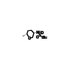 C[C@@H]1CC[C@H](NS(=O)(=O)C(C)(C)C)CO1